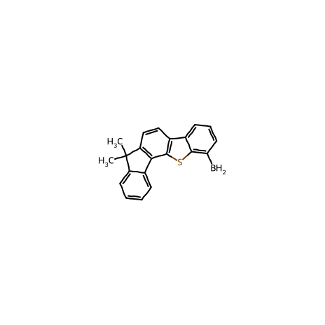 Bc1cccc2c1sc1c3c(ccc12)C(C)(C)c1ccccc1-3